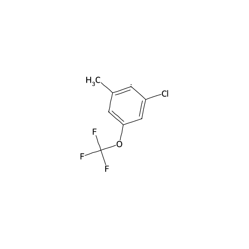 Cc1[c]c(Cl)cc(OC(F)(F)F)c1